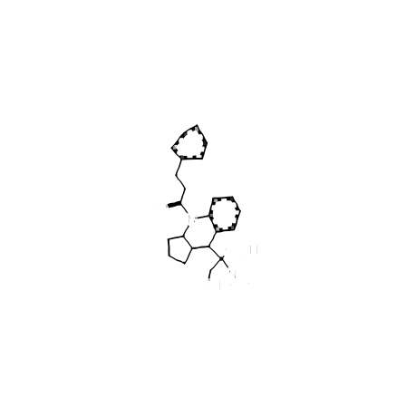 NC(CC=O)(C(=O)O)C1c2ccccc2N(C(=O)CCc2ccccc2)C2CCCC21